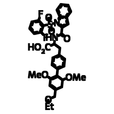 CCOCC1=CC(OC)=C(c2ccc(CC(NC(=O)c3cc4ccccc4n3S(=O)(=O)c3c(F)cccc3F)C(=O)O)cc2)C(OC)C1